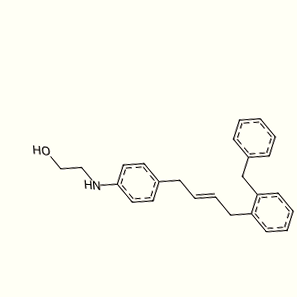 OCCNc1ccc(CC=CCc2ccccc2Cc2ccccc2)cc1